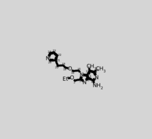 CCOCc1nc2c(N)nc(C)c(C)c2n1CCOCCCc1cccnc1